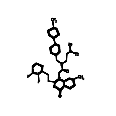 CCN(CC)CCN(Cc1ccc(-c2ccc(C(F)(F)F)cc2)cc1)C(=O)Cn1c(CCc2cccc(F)c2F)nc(=O)c2ccc(C)cc21